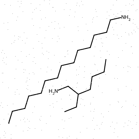 CCCCC(CC)CN.CCCCCCCCCCCCCCN